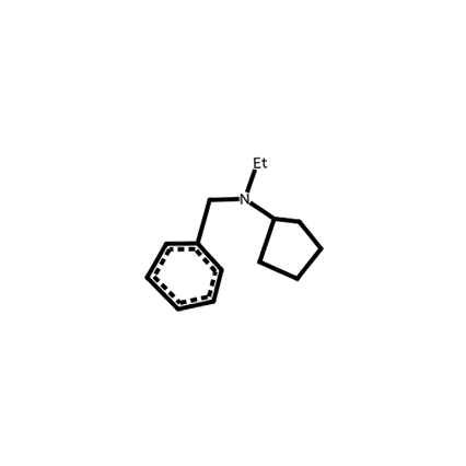 CCN(Cc1ccccc1)C1CCCC1